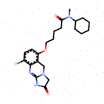 CN(C(=O)CCCCOc1ccc(Cl)c2c1CN1CC(=O)NC1=N2)C1CCCCC1